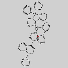 c1ccc(-c2ccccc2N(c2ccc(-c3ccc(-c4ccccc4)c4ccccc34)cc2)c2cccc3c2-c2ccccc2C3(c2ccccc2)c2ccccc2)cc1